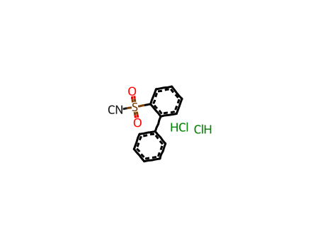 Cl.Cl.[C-]#[N+]S(=O)(=O)c1ccccc1-c1ccccc1